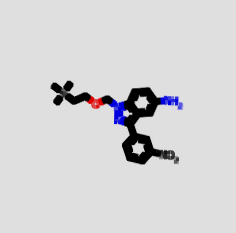 C[Si](C)(C)CCOCn1nc(-c2cccc([N+](=O)[O-])c2)c2cc(N)ccc21